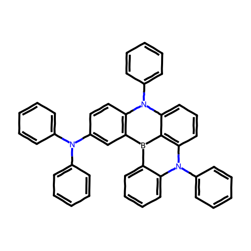 c1ccc(N(c2ccccc2)c2ccc3c(c2)B2c4ccccc4N(c4ccccc4)c4cccc(c42)N3c2ccccc2)cc1